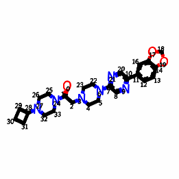 O=C(CN1CCN(c2cnc(-c3ccc4c(c3)OCO4)cn2)CC1)N1CCN(C2CCC2)CC1